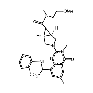 COCCN(C)C(=O)C1[C@H]2CN(c3nc4c(C(C)Nc5ccccc5C(=O)O)cc(C)cc4c(=O)n3C)C[C@@H]12